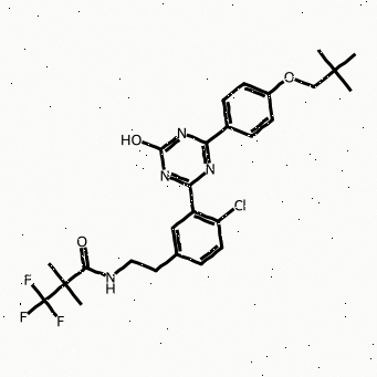 CC(C)(C)COc1ccc(-c2nc(O)nc(-c3cc(CCNC(=O)C(C)(C)C(F)(F)F)ccc3Cl)n2)cc1